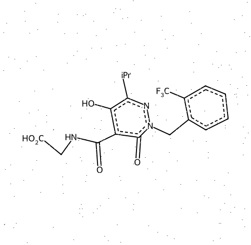 CC(C)c1nn(Cc2ccccc2C(F)(F)F)c(=O)c(C(=O)NCC(=O)O)c1O